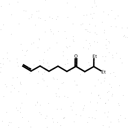 C=CCCCCC(=O)CC(CC)CC